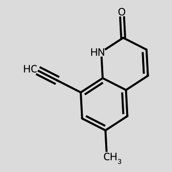 C#Cc1cc(C)cc2ccc(=O)[nH]c12